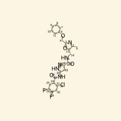 Cc1nc(COc2ccccc2)oc1CNC(=O)c1cc(NC(=O)c2cc(F)c(F)cc2Cl)[nH]n1